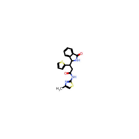 Cc1csc(NC(=O)CC(c2cccs2)C2NC(=O)c3ccccc32)n1